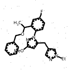 CCn1cc(Cc2cc(OC)nn2-c2ccc(F)cc2C(C)OCc2ccccc2)cn1